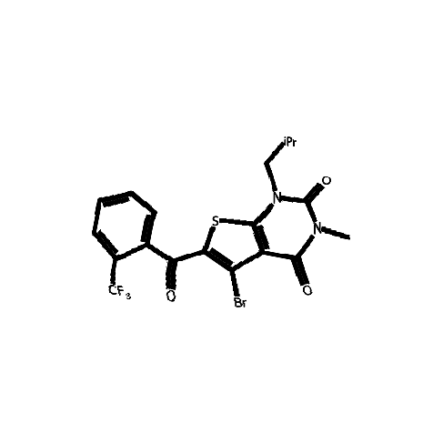 CC(C)Cn1c(=O)n(C)c(=O)c2c(Br)c(C(=O)c3ccccc3C(F)(F)F)sc21